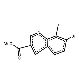 COC(=O)c1cnc2c(C)c(Br)ccc2c1